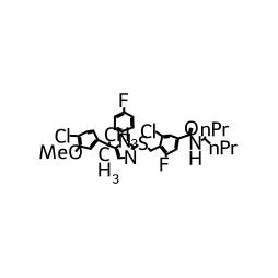 CCCC(CCC)NC(=O)c1cc(F)c(CSc2ncc(C(C)(C)c3ccc(Cl)c(OC)c3)n2-c2ccc(F)cc2)c(Cl)c1